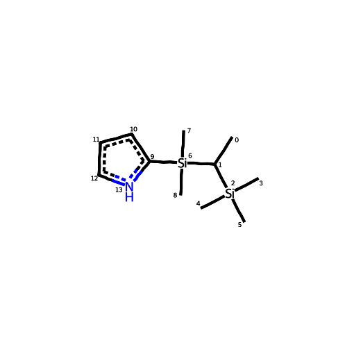 CC([Si](C)(C)C)[Si](C)(C)c1ccc[nH]1